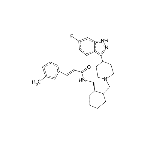 Cc1cccc(/C=C/C(=O)NC[C@@H]2CCCC[C@H]2CN2CCC(c3n[nH]c4cc(F)ccc34)CC2)c1